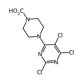 O=C(O)N1CCN(c2nc(Cl)nc(Cl)c2Cl)CC1